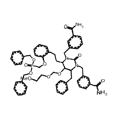 COCCOCOC1C(CCc2ccccc2OCP(=O)(OCc2ccccc2)OCc2ccccc2)N(Cc2cccc(C(N)=O)c2)C(=O)N(Cc2cccc(C(N)=O)c2)C1Cc1ccccc1